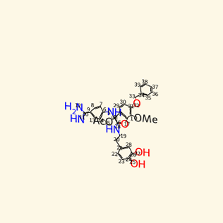 COc1cc([C@](Nc2ccc(C(=N)N)cc2)(OC(C)=O)C(=O)NCCc2ccc(O)c(O)c2)ccc1OCc1ccccc1